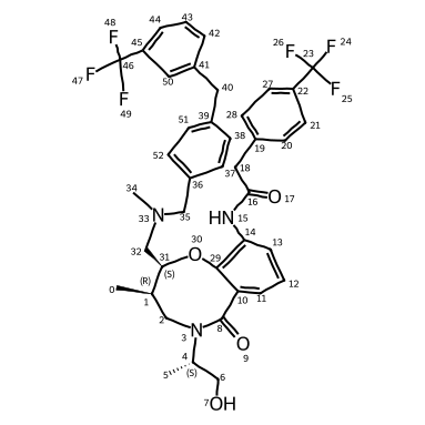 C[C@@H]1CN([C@@H](C)CO)C(=O)c2cccc(NC(=O)Cc3ccc(C(F)(F)F)cc3)c2O[C@@H]1CN(C)Cc1ccc(Cc2cccc(C(F)(F)F)c2)cc1